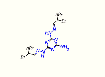 CCCC(/C=N/Nc1nc(N)nc(N/N=C/C(CC)CCC)n1)CC